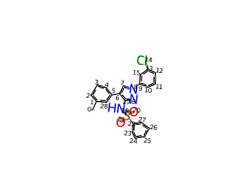 Cc1cccc(-c2cn(-c3cccc(Cl)c3)nc2NS(=O)(=O)c2ccccc2)c1